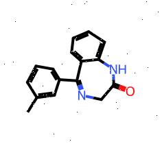 Cc1cccc(C2=NCC(=O)Nc3ccccc32)c1